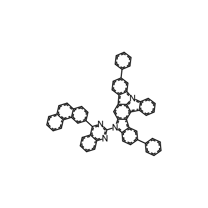 c1ccc(-c2ccc3c(c2)c2c4c5ccccc5n5c6cc(-c7ccccc7)ccc6c(cc2n3-c2nc(-c3ccc6ccc7ccccc7c6c3)c3ccccc3n2)c45)cc1